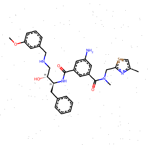 COc1cccc(CNC[C@@H](O)[C@H](Cc2ccccc2)NC(=O)c2cc(N)cc(C(=O)N(C)Cc3nc(C)cs3)c2)c1